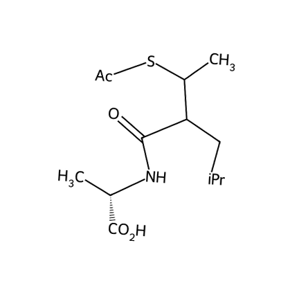 CC(=O)SC(C)C(CC(C)C)C(=O)N[C@@H](C)C(=O)O